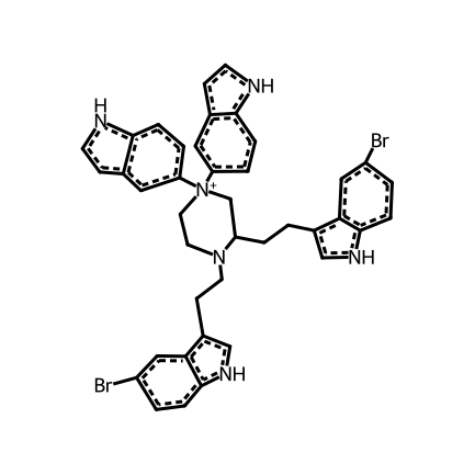 Brc1ccc2[nH]cc(CCC3C[N+](c4ccc5[nH]ccc5c4)(c4ccc5[nH]ccc5c4)CCN3CCc3c[nH]c4ccc(Br)cc34)c2c1